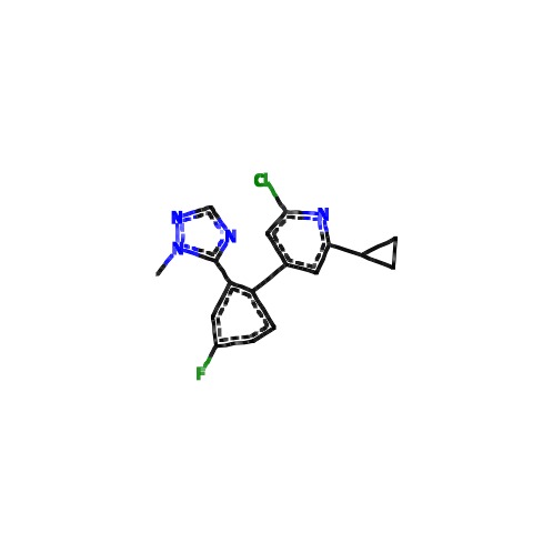 Cn1ncnc1-c1cc(F)ccc1-c1cc(Cl)nc(C2CC2)c1